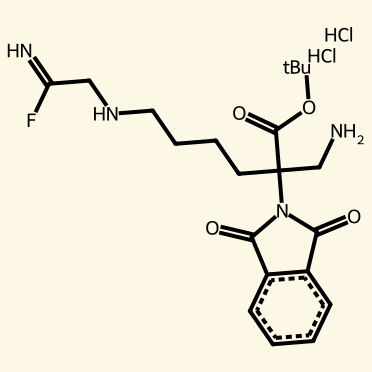 CC(C)(C)OC(=O)C(CN)(CCCCNCC(=N)F)N1C(=O)c2ccccc2C1=O.Cl.Cl